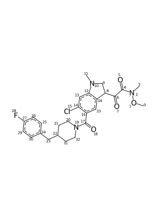 CON(C)C(=O)C(=O)C1CN(C)c2cc(Cl)c(C(=O)N3CCC(Cc4ccc(F)cc4)CC3)cc21